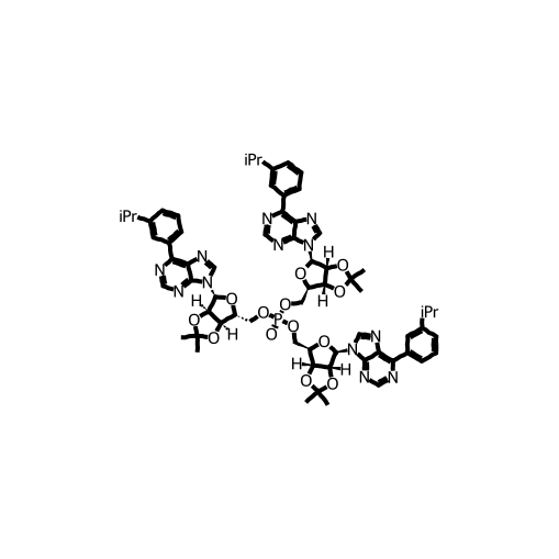 CC(C)c1cccc(-c2ncnc3c2ncn3[C@@H]2O[C@H](COP(=O)(OC[C@H]3O[C@@H](n4cnc5c(-c6cccc(C(C)C)c6)ncnc54)[C@@H]4OC(C)(C)O[C@@H]43)OC[C@H]3O[C@@H](n4cnc5c(-c6cccc(C(C)C)c6)ncnc54)[C@@H]4OC(C)(C)O[C@@H]43)[C@H]3OC(C)(C)O[C@H]32)c1